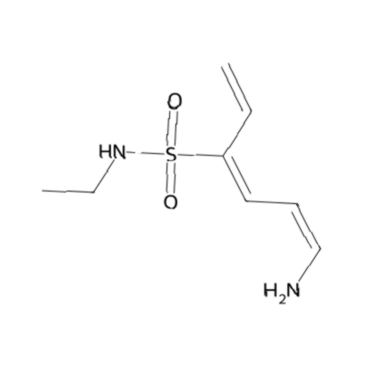 C=C/C(=C\C=C/N)S(=O)(=O)NCC